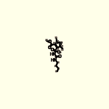 CCCCNC(=O)NS(=O)(=O)c1c(C)nn(C)c1C(=O)OC